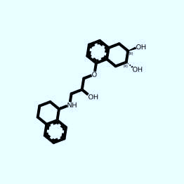 OC(CNC1CCCc2ccccc21)COc1cccc2c1C[C@@H](O)[C@H](O)C2